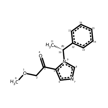 COCC(=O)c1cncn1[C@H](C)c1ccccc1